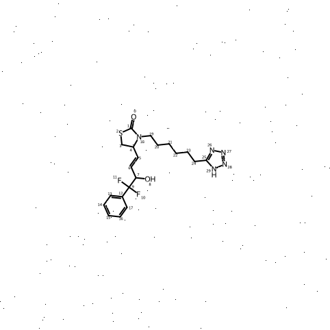 O=C1SCC(C=CC(O)C(F)(F)c2ccccc2)N1CCCCCCc1nnn[nH]1